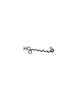 O=C(O)CCCCCCCC/C=C/c1cccs1